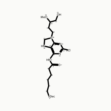 CCCCCCCCCCCCCCCC(=O)Nc1nc(Cl)nc2c1NCN2CCC(CO)OC